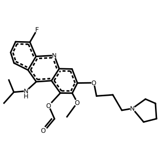 COc1c(OCCCN2CCCC2)cc2nc3c(F)cccc3c(NC(C)C)c2c1OC=O